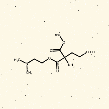 CN(C)CCOC(=O)C(N)(CCC(=O)O)C(=O)OC(C)(C)C